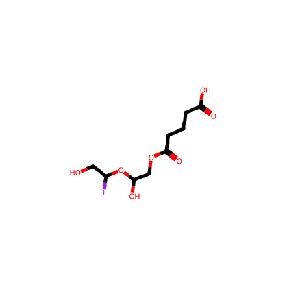 O=C(O)CCCC(=O)OCC(O)OC(I)CO